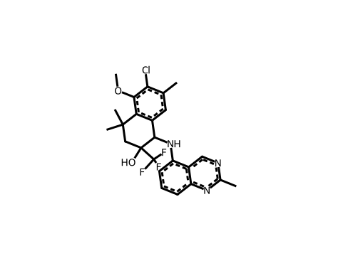 COc1c(Cl)c(C)cc2c1C(C)(C)CC(O)(C(F)(F)F)C2Nc1cccc2nc(C)ncc12